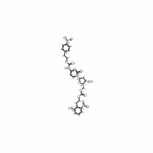 O=C(Nc1ccn([C@H]2C[C@H](O)[C@@H](COC(=O)OCCc3c(Cl)cccc3[N+](=O)[O-])O2)c(=O)n1)OCCc1ccc([N+](=O)[O-])cc1